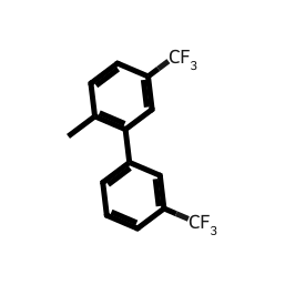 Cc1ccc(C(F)(F)F)cc1-c1cccc(C(F)(F)F)c1